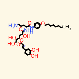 CCCCCCCCOc1ccc(NC(=O)C(CCCN)NC(=O)C(O)CC(OC(=O)/C=C/c2ccc(O)c(O)c2)C(O)CO)cc1